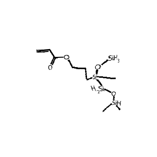 C=CC(=O)OCCC[Si](C)(O[SiH3])[SiH2]O[SiH](C)C